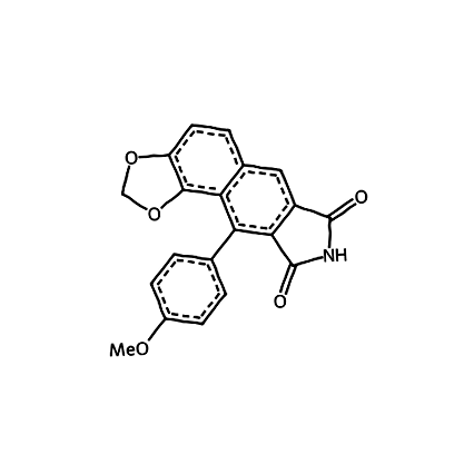 COc1ccc(-c2c3c(cc4ccc5c(c24)OCO5)C(=O)NC3=O)cc1